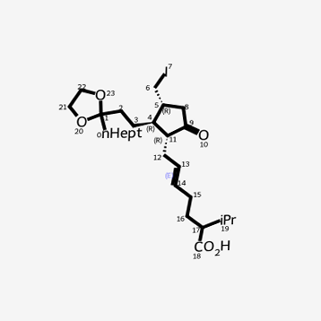 CCCCCCCC1(CC[C@H]2[C@H](CI)CC(=O)[C@@H]2C/C=C/CCC(C(=O)O)C(C)C)OCCO1